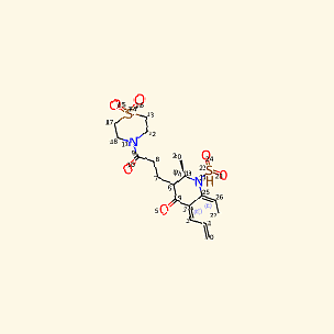 C=C/C=C1/C(=O)C(CCC(=O)N2CCS(=O)(=O)CC2)[C@@H](C)N([SH](=O)=O)/C1=C/C